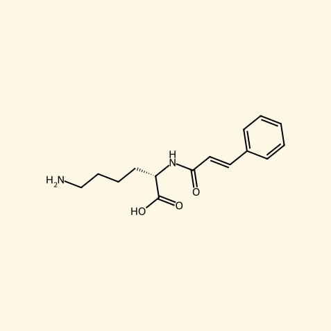 NCCCC[C@H](NC(=O)C=Cc1ccccc1)C(=O)O